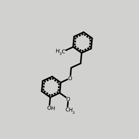 COc1c(O)cccc1OCCc1ccccc1C